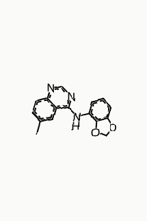 Cc1ccc2ncnc(Nc3cccc4c3OCO4)c2c1